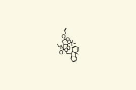 C=CCOC(=O)C[C@@H](C(=O)OC(C)(C)C)N(CC)C(=O)OCC1c2ccccc2C2(C)C=CC=CC12